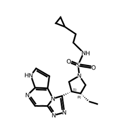 CC[C@H]1CN(S(=O)(=O)NCCC2CC2)C[C@H]1c1nnc2cnc3[nH]ccc3n12